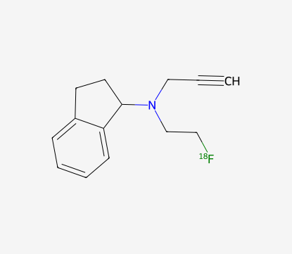 C#CCN(CC[18F])C1CCc2ccccc21